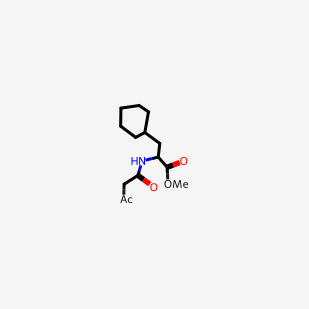 COC(=O)C(CC1CCCCC1)NC(=O)CC(C)=O